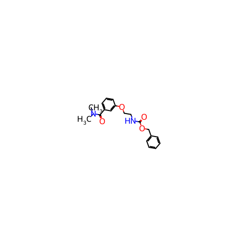 CN(C)C(=O)c1cccc(OCCNC(=O)OCc2ccccc2)c1